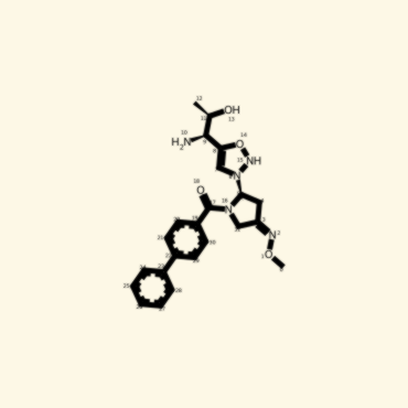 CON=C1C[C@H](N2C=C([C@@H](N)[C@@H](C)O)ON2)N(C(=O)c2ccc(-c3ccccc3)cc2)C1